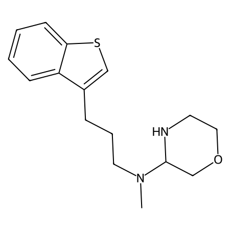 CN(CCCc1csc2ccccc12)C1COCCN1